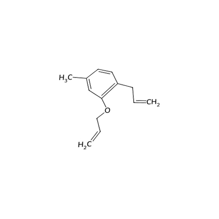 C=CCOc1cc(C)ccc1CC=C